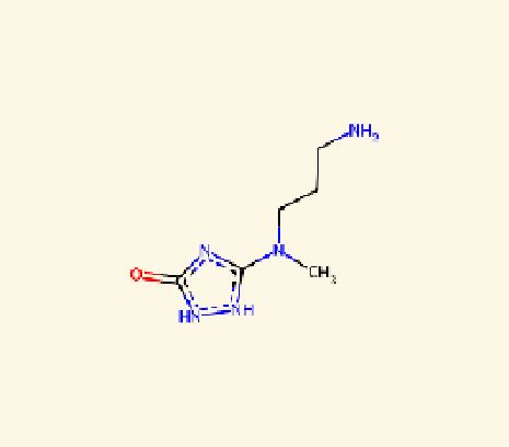 CN(CCCN)c1nc(=O)[nH][nH]1